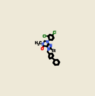 CCc1nc2c(n1Cc1ccc(-c3ccccc3)cc1)C(=O)N(C)CN2c1ccc(Cl)cc1Cl